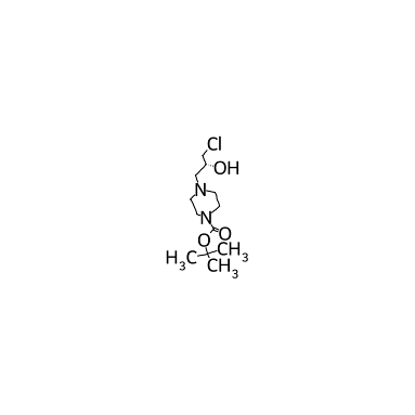 CC(C)(C)OC(=O)N1CCN(C[C@@H](O)CCl)CC1